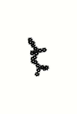 c1ccc(-c2ccc(N(c3ccc(-c4ccc5c(ccc6ccc7cc(-c8ccc(N(c9ccc(-c%10ccccc%10)cc9)c9ccc(-c%10ccc%11c(ccc%12c%13ccccc%13ccc%11%12)c%10)cc9)c9oc%10ncccc%10c89)ccc7c65)c4)cc3)c3ccc4c(c3)oc3ncccc34)cc2)cc1